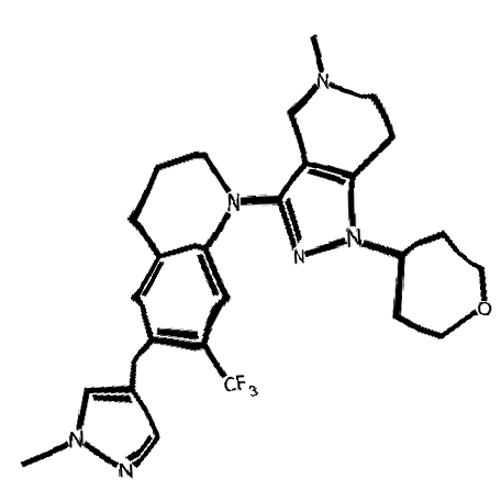 CN1CCc2c(c(N3CCCc4cc(-c5cnn(C)c5)c(C(F)(F)F)cc43)nn2C2CCOCC2)C1